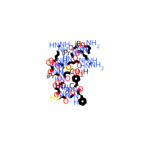 CC[C@H](C)[C@H](NC(=O)[C@H](CCCNC(=N)N)N1C(=O)C(N)CC1C)C(=O)N[C@H](C(=O)NC(CCC(N)=O)C(=O)N[C@@H](CS)C(=O)NC(CCCNC(=N)N)C(=O)N[C@@H](CO)C(=O)N[C@H](C(=O)NC(CCC(=O)O)C(=O)NCC(=O)NC(CO)C(=O)N[C@@H](CS)C(=O)NCC(=O)N[C@@H](Cc1ccccc1)C(=O)NC(Cc1ccc(O)cc1)C(=O)O)C(C)C)C(C)C